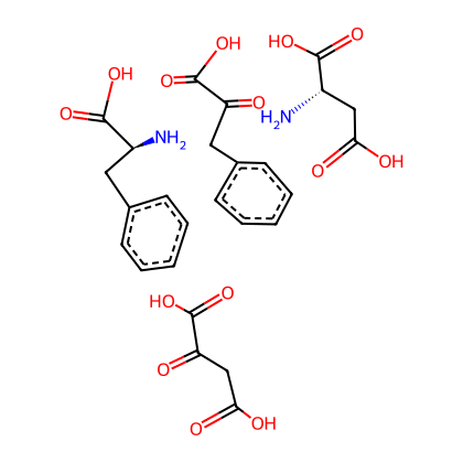 N[C@@H](CC(=O)O)C(=O)O.N[C@@H](Cc1ccccc1)C(=O)O.O=C(O)C(=O)Cc1ccccc1.O=C(O)CC(=O)C(=O)O